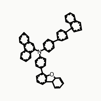 C1=CC2Oc3c(-c4ccc(N(c5ccc(-c6ccc(-c7cccc8ccccc78)cc6)cc5)c5cc6ccccc6c6ccccc56)cc4)cccc3C2C=C1